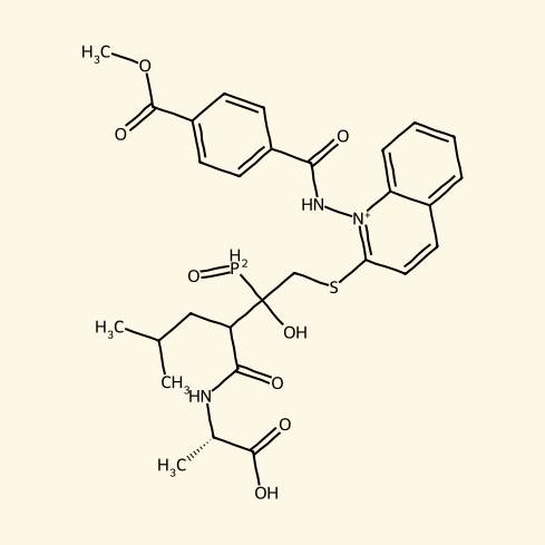 COC(=O)c1ccc(C(=O)N[n+]2c(SCC(O)([PH2]=O)C(CC(C)C)C(=O)N[C@@H](C)C(=O)O)ccc3ccccc32)cc1